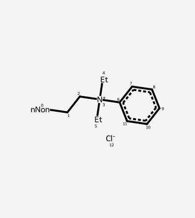 CCCCCCCCCCC[N+](CC)(CC)c1ccccc1.[Cl-]